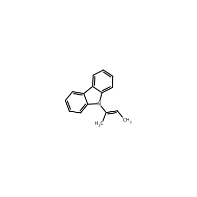 CC=C(C)n1c2ccccc2c2ccccc21